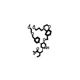 CCC(C[C@H]1C[C@H](c2ccc(COCCOC)cc2)[C@@H](OCc2ccc3c(c2)N(CCCOC)CCO3)CN1)C(=O)N(C)C